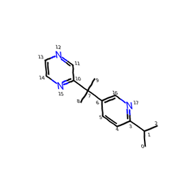 CC(C)c1ccc(C(C)(C)c2cnccn2)cn1